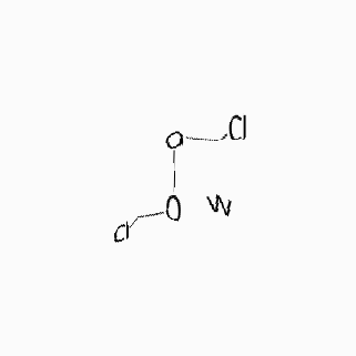 ClOOCl.[W]